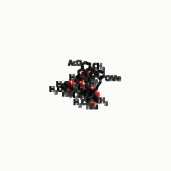 CCCC[Si](C)(C)O[Si](C)(C)O[Si](C)(CCCc1cc(C(C)(C)c2ccc(OC(C)=O)c(CCC[Si](CCC)(O[Si](C)(C)O[Si](C)(C)CCCC)O[Si](C)(C)O[Si](C)(C)CCCC)c2)ccc1OC)O[Si](C)(C)O[Si](C)(C)CCCC